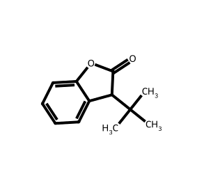 CC(C)(C)C1C(=O)Oc2ccccc21